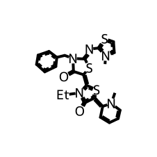 CCn1c(=O)/c(=C2\C=CC=CN2C)s/c1=C1\S/C(=N\c2scc[n+]2C)N(Cc2ccccc2)C1=O